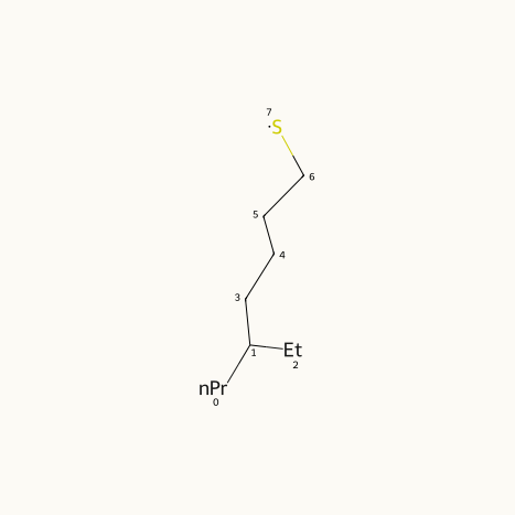 CCCC(CC)CCCC[S]